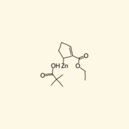 CC(C)(C)C(=O)O.CCOC(=O)C1=CCC[CH]1[Zn]